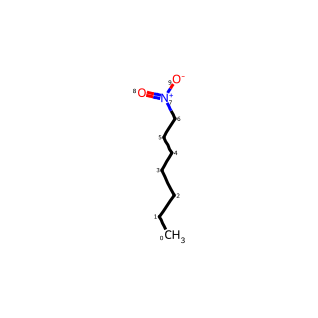 CCCCCCC[N+](=O)[O-]